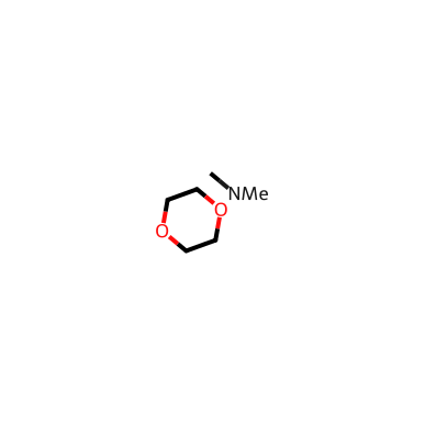 C1COCCO1.CNC